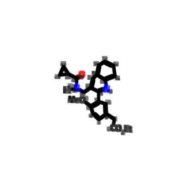 CCOC(=O)Cc1ccc(OC)c(-c2nc3ccccc3cc2CN(CC)C(=O)C2CC2)c1